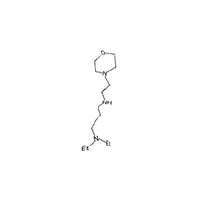 CCN(CC)CCCNCCN1CCOCC1